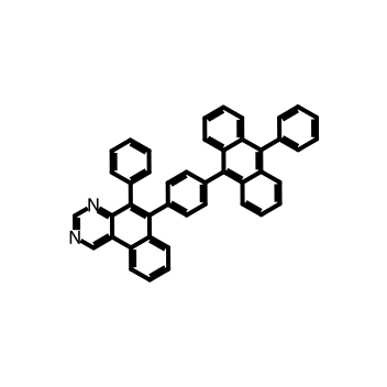 c1ccc(-c2c3ccccc3c(-c3ccc(-c4c(-c5ccccc5)c5ncncc5c5ccccc45)cc3)c3ccccc23)cc1